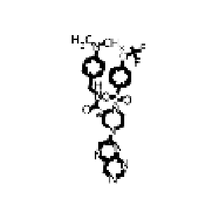 CN(C)c1ccc(CNC(=O)[C@H]2CN(c3cnc4cncnc4n3)CCN2S(=O)(=O)c2ccc(OC(F)(F)F)cc2)cc1